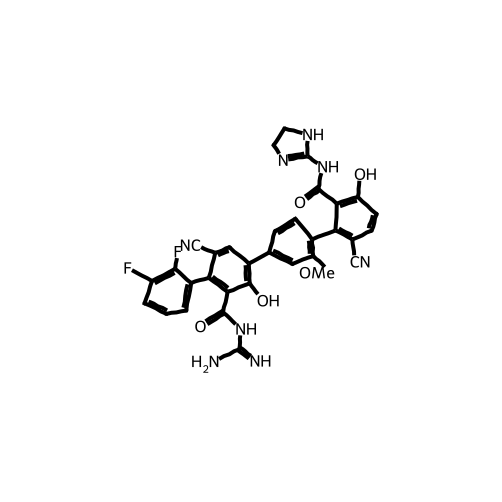 COc1cc(-c2cc(C#N)c(-c3cccc(F)c3F)c(C(=O)NC(=N)N)c2O)ccc1-c1c(C#N)ccc(O)c1C(=O)NC1=NCCN1